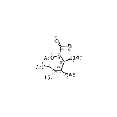 CC(=O)OC[C@@H](O)[C@H](OC(C)=O)[C@H](OC(C)=O)[C@@H](OC(C)=O)C(=O)Br